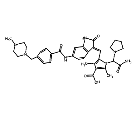 Cc1c(C(=O)O)c(C)n(C(C(N)=O)N2CCCC2)c1C=C1C(=O)Nc2cc(NC(=O)c3ccc(CN4CCN(C)CC4)cc3)ccc21